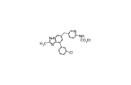 CCOC(=O)Nc1ccc(Cc2cc(-c3cccc(Cl)c3)c3nc(C)nn3c2)cn1